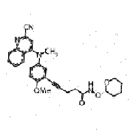 COc1ccc(N(C)c2cc(C#N)nc3ccccc23)cc1C#CCCC(=O)NO[C@H]1CCCCO1